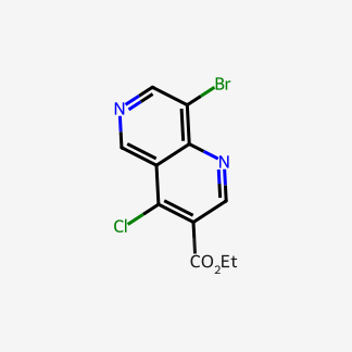 CCOC(=O)c1cnc2c(Br)cncc2c1Cl